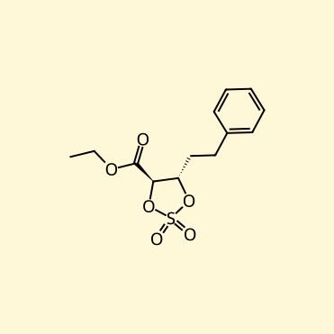 CCOC(=O)[C@@H]1OS(=O)(=O)O[C@H]1CCc1ccccc1